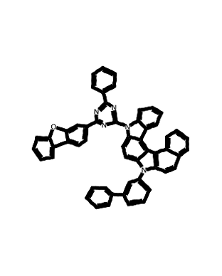 c1ccc(-c2cccc(-n3c4ccc5ccccc5c4c4c5c6ccccc6n(-c6nc(-c7ccccc7)nc(-c7ccc8c(c7)oc7ccccc78)n6)c5ccc43)c2)cc1